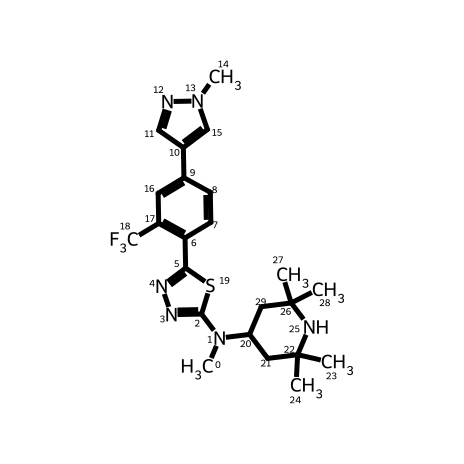 CN(c1nnc(-c2ccc(-c3cnn(C)c3)cc2C(F)(F)F)s1)C1CC(C)(C)NC(C)(C)C1